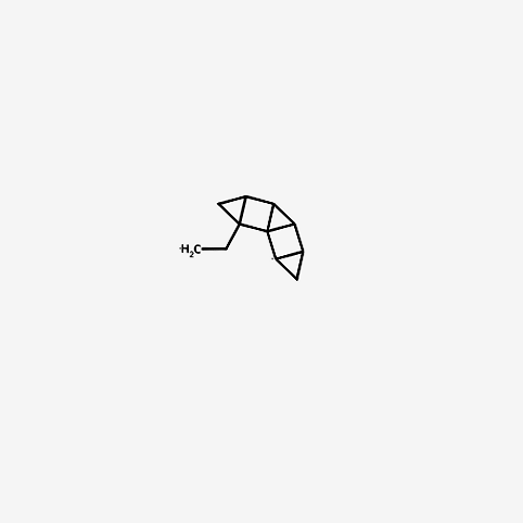 [CH2]CC12CC1C1C3C4C[C]4C312